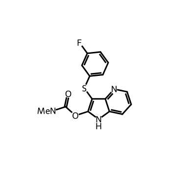 CNC(=O)Oc1[nH]c2cccnc2c1Sc1cccc(F)c1